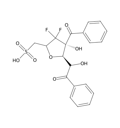 O=C(c1ccccc1)C(O)[C@H]1OC(CS(=O)(=O)O)C(F)(F)[C@@]1(O)C(=O)c1ccccc1